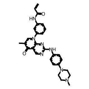 C=CC(=O)Nc1cccc(-n2cc(C)c(=O)c3cnc(Nc4ccc(N5CCN(C)CC5)cc4)nc32)c1